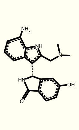 CN(C)Cc1[nH]c2c(N)cccc2c1[C@H]1NC(=O)c2ccc(O)cc21